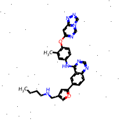 CCCCNCc1coc(-c2ccc3ncnc(Nc4ccc(Oc5cc6nncn6cn5)c(C)c4)c3c2)c1